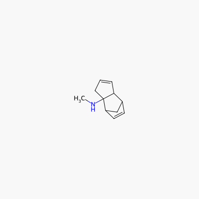 CNC12CC=CC1C1C=CC2C1